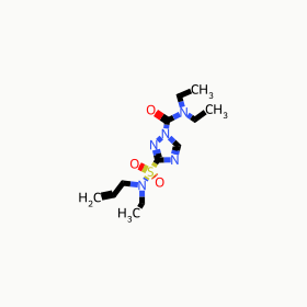 C=CCN(CC)S(=O)(=O)c1ncn(C(=O)N(CC)CC)n1